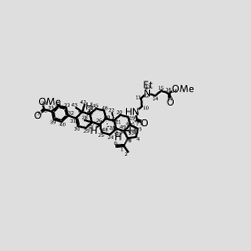 C=C(C)[C@@H]1CC[C@]2(C(=O)NCCN(CC)CCC(=O)OC)CC[C@]3(C)[C@H](CC[C@@H]4C5(C)CC=C(c6ccc(C(=O)OC)cc6)C(C)(C)[C@@H]5CC[C@]43C)[C@@H]12